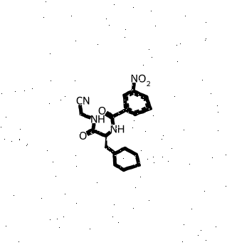 N#CCNC(=O)[C@H](CC1CCCCC1)NC(=O)c1cccc([N+](=O)[O-])c1